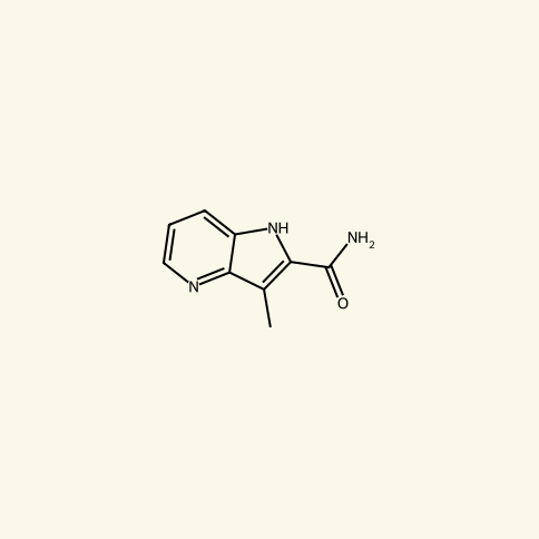 Cc1c(C(N)=O)[nH]c2cccnc12